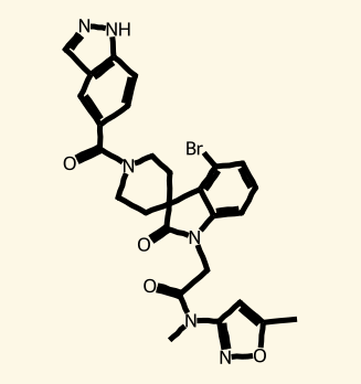 Cc1cc(N(C)C(=O)CN2C(=O)C3(CCN(C(=O)c4ccc5[nH]ncc5c4)CC3)c3c(Br)cccc32)no1